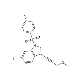 COCC#Cc1cn(S(=O)(=O)c2ccc(C)cc2)c2cc(Br)ncc12